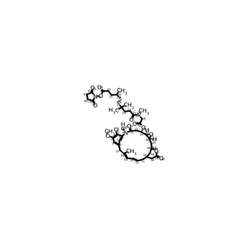 COc1cc2cc(c1Cl)N(C)C(=O)C[C@@H](OC(=O)CN(C)C(=O)CCC(C)(C)SSC(C)CCC(=O)ON1C(=O)CCC1=O)[C@H]1O[C@@H]1C[C@H]1CC(C/C=C/C=C(\C)C2)CC(=O)O1